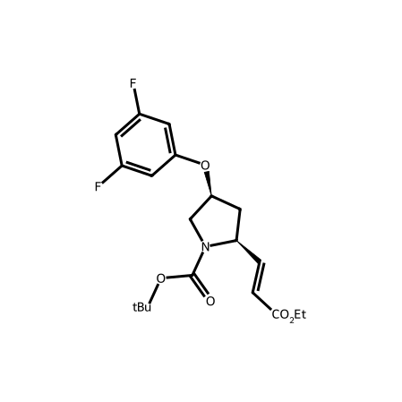 CCOC(=O)/C=C/[C@@H]1C[C@H](Oc2cc(F)cc(F)c2)CN1C(=O)OC(C)(C)C